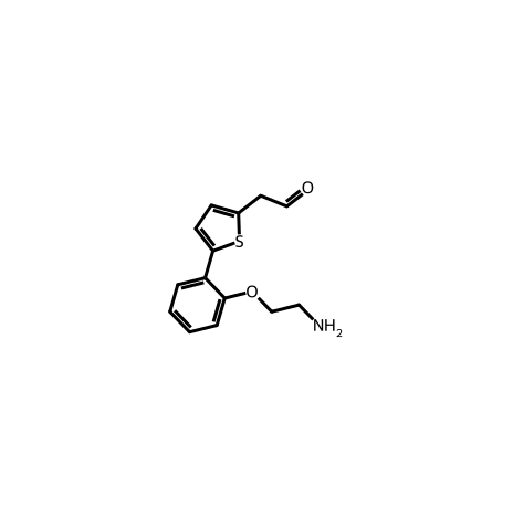 NCCOc1ccccc1-c1ccc(CC=O)s1